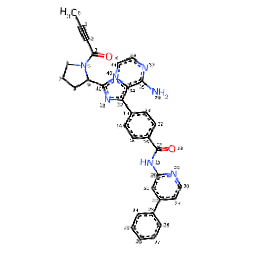 CC#CC(=O)N1CCCC1c1nc(-c2ccc(C(=O)Nc3cc(-c4ccccc4)ccn3)cc2)c2c(N)nccn12